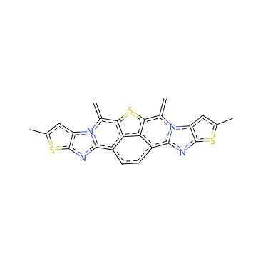 C=c1c2sc3c(=C)n4c5cc(C)sc5nc4c4ccc(c2c34)c2nc3sc(C)cc3n12